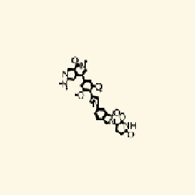 COc1cc(-c2cn(C)c(=O)c3cnc(N(C)C)cc23)cc(OC)c1C1CN(c2ccc3c(c2)C(=O)N(C2CCC(=O)NC2=O)C3)C1